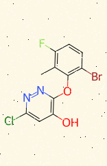 Cc1c(F)ccc(Br)c1Oc1nnc(Cl)cc1O